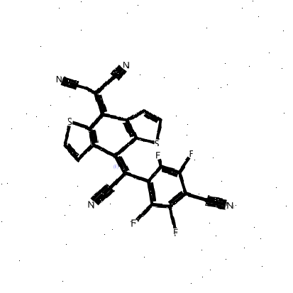 N#CC(C#N)=c1c2ccsc2/c(=C(/C#N)c2c(F)c(F)c(C#N)c(F)c2F)c2ccsc12